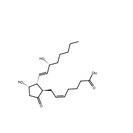 CCCCC[C@@H](O)/C=C/[C@H]1[C@@H](O)CC(=O)[C@@H]1C/C=C\CCCC(=O)O